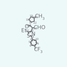 CCc1sc(-c2ccc(C(F)(F)F)cc2)nc1C(C=O)C(=O)[C@@H]1CC[C@@H](C)C1